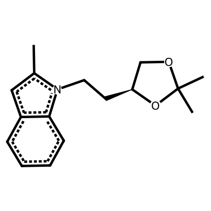 Cc1cc2ccccc2n1CC[C@H]1COC(C)(C)O1